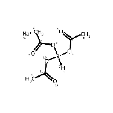 [2H][B-](OC(C)=O)(OC(C)=O)OC(C)=O.[Na+]